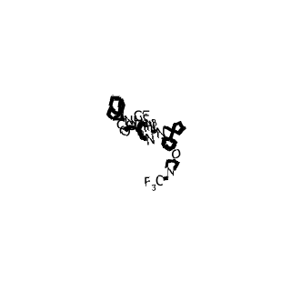 O=C(NC1(C(=O)O)C2CC3CC(C2)CC1C3)c1cnc(N2CC3(CCCC3)c3cc(OC4CCN(CC(F)(F)F)CC4)ccc32)nc1C(F)(F)F